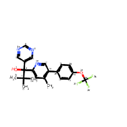 Cc1cc(C(O)(c2cncnc2)C(C)(C)C)ncc1-c1ccc(OC(F)(F)F)cc1